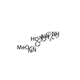 COc1cc(-c2ccc(-c3ccc(N4CC[C@H](NC5(C)CCC5)C4)nn3)c(O)c2)ncn1